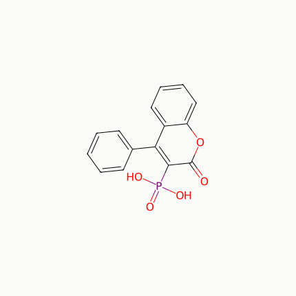 O=c1oc2ccccc2c(-c2ccccc2)c1P(=O)(O)O